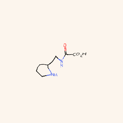 O=C(O)C(=O)NCC1CCCN1